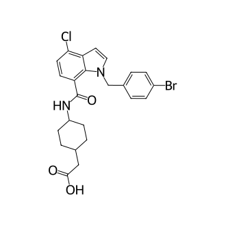 O=C(O)CC1CCC(NC(=O)c2ccc(Cl)c3ccn(Cc4ccc(Br)cc4)c23)CC1